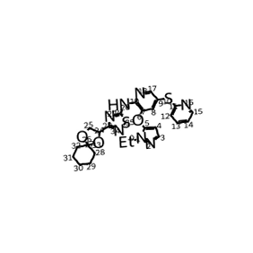 CCn1nccc1Oc1cc(Sc2ccccn2)cnc1Nc1nc(C2COC3(CCCCC3)O2)ns1